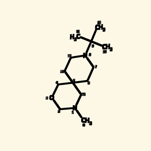 CN1COCC2(CCN(C(C)(C)C)CC2)C1